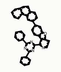 c1ccc(-c2nc(-c3ccccc3)nc(-c3nccc4oc5cc(-c6ccc7ccc8ccccc8c7c6)ccc5c34)n2)cc1